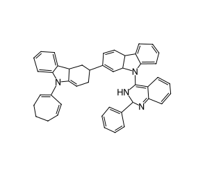 C1=CC(N2C3=CCC(C4=CC5C(C=C4)c4ccccc4N5C4=c5ccccc5=NC(c5ccccc5)N4)CC3c3ccccc32)=CCCC1